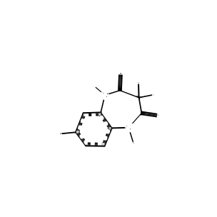 CCN1C(=O)C(C)(C)C(=O)N(CC)c2cc(O)ccc21